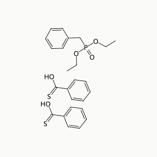 CCOP(=O)(Cc1ccccc1)OCC.OC(=S)c1ccccc1.OC(=S)c1ccccc1